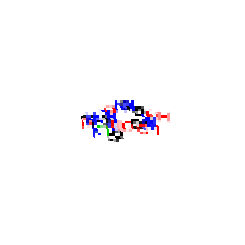 C=CC(=O)N1CCN(c2nc(OCCN3CCN(Cc4ccc(-n5c(O)nnc5-c5cc(C)c(O)cc5O)cc4)CC3)nc3c2CCN(c2cccc4cccc(Cl)c24)C3)CC1CC#N